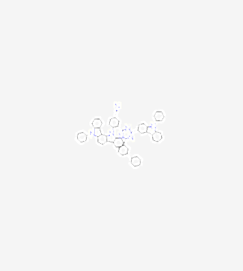 N#Cc1ccc(-n2c3ccccc3c3ccc4c(c5ccccc5n4-c4ccccc4)c32)c(-c2nc(-c3cccc(-c4ccccc4)c3)nc(-c3ccc4c(c3)c3ccccc3n4-c3ccccc3)n2)c1